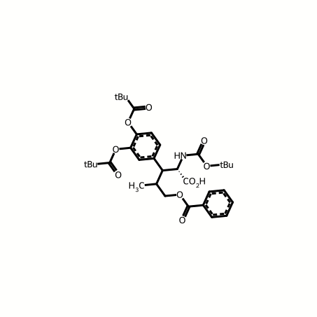 CC(COC(=O)c1ccccc1)C(c1ccc(OC(=O)C(C)(C)C)c(OC(=O)C(C)(C)C)c1)[C@H](NC(=O)OC(C)(C)C)C(=O)O